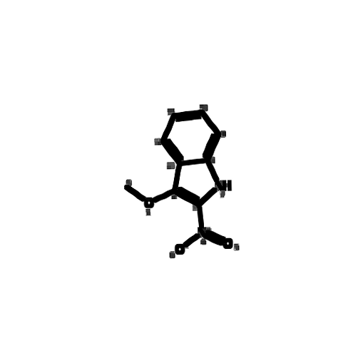 COc1c([N+](=O)[O-])[nH]c2ccccc12